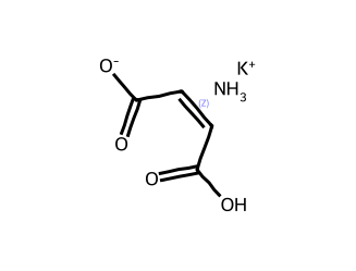 N.O=C([O-])/C=C\C(=O)O.[K+]